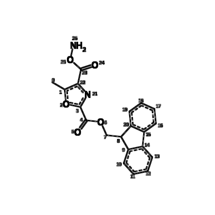 Cc1oc(C(=O)OCC2c3ccccc3-c3ccccc32)nc1C(=O)ON